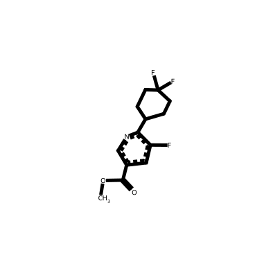 COC(=O)c1cnc(C2CCC(F)(F)CC2)c(F)c1